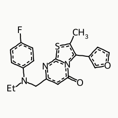 CCN(Cc1cc(=O)n2c(-c3ccoc3)c(C)sc2n1)c1ccc(F)cc1